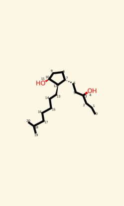 CCCC(O)CC[C@H]1CC[C@H](O)[C@@H]1CCCCCC(C)C